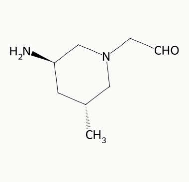 C[C@@H]1C[C@@H](N)CN(CC=O)C1